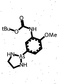 COc1ccc([As]2NCCN2)cc1NC(=O)OC(C)(C)C